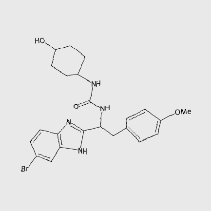 COc1ccc(CC(NC(=O)NC2CCC(O)CC2)c2nc3ccc(Br)cc3[nH]2)cc1